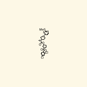 CSc1nccc(N2CCC(N(C)C(=O)OC3CCN(S(=O)(=O)c4ccc(Cl)cc4Cl)C3)CC2)n1